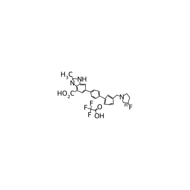 Cc1nc2c(C(=O)O)cc(-c3ccc(-c4cccc(CN5CC[C@@H](F)C5)c4)cc3)cc2[nH]1.O=C(O)C(F)(F)F